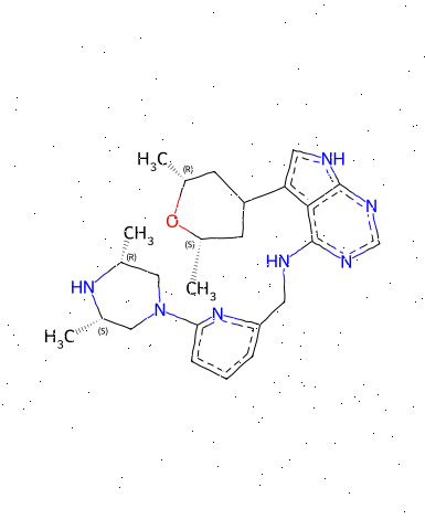 C[C@@H]1CN(c2cccc(CNc3ncnc4[nH]cc(C5C[C@@H](C)O[C@@H](C)C5)c34)n2)C[C@H](C)N1